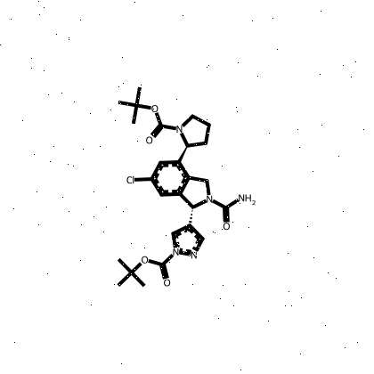 CC(C)(C)OC(=O)N1CCC[C@H]1c1cc(Cl)cc2c1CN(C(N)=O)[C@@H]2c1cnn(C(=O)OC(C)(C)C)c1